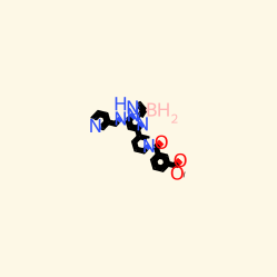 Bc1cnn2c(NCc3cccnc3)cc(C3CCCN(C(=O)c4cccc(C(=O)OC)c4)C3)nc12